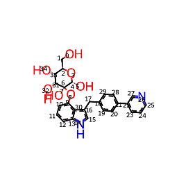 OC[C@H]1O[C@H](O)[C@@](O)(Oc2cccc3[nH]cc(Cc4ccc(-c5cccnc5)cc4)c23)[C@@H](O)[C@@H]1O